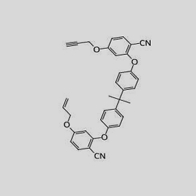 C#CCOc1ccc(C#N)c(Oc2ccc(C(C)(C)c3ccc(Oc4cc(OCC=C)ccc4C#N)cc3)cc2)c1